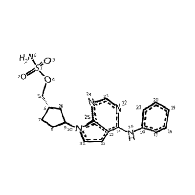 NS(=O)(=O)OC[C@H]1CCC(n2ccc3c(Nc4ccccc4)ncnc32)C1